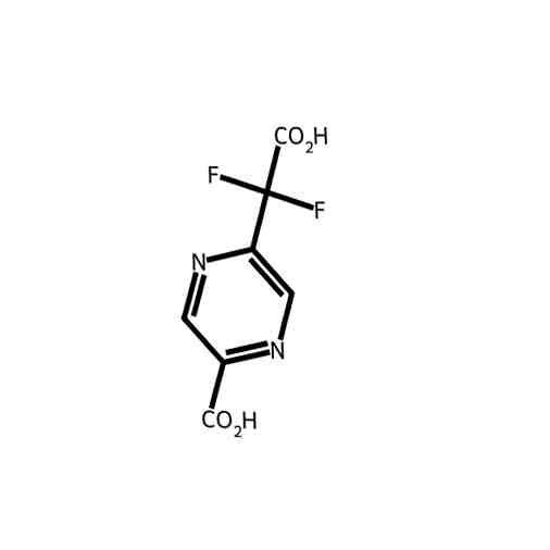 O=C(O)c1cnc(C(F)(F)C(=O)O)cn1